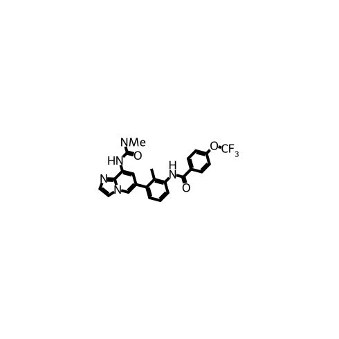 CNC(=O)Nc1cc(-c2cccc(NC(=O)c3ccc(OC(F)(F)F)cc3)c2C)cn2ccnc12